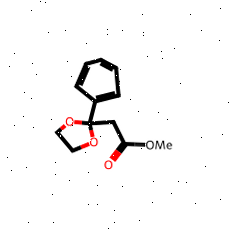 COC(=O)CC1(c2ccccc2)OCCO1